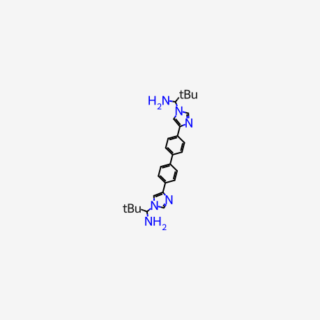 CC(C)(C)C(N)n1cnc(-c2ccc(-c3ccc(-c4cn(C(N)C(C)(C)C)cn4)cc3)cc2)c1